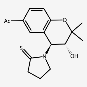 CC(=O)c1ccc2c(c1)[C@H](N1CCCC1=S)[C@@H](O)C(C)(C)O2